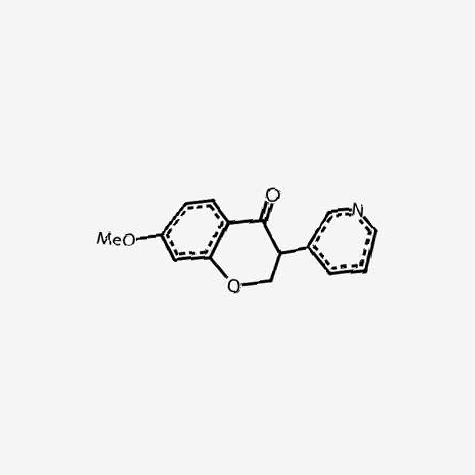 COc1ccc2c(c1)OCC(c1cccnc1)C2=O